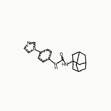 O=C(Nc1ccc(-n2ccnc2)cc1)NC12CC3CC(CC(C3)C1)C2